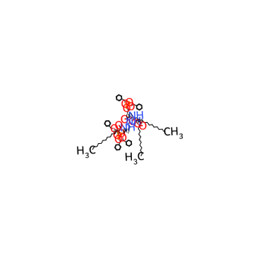 CCCCCCCCCCCC(=O)O[C@H](CCCCCCCCCCC)CC(=O)N[C@@H](CCOP(=O)(OCc1ccccc1)OCc1ccccc1)C(=O)NCCC[C@H](COP(=O)(OCc1ccccc1)OCc1ccccc1)NC(=O)C[C@@H](CCCCCCCCCCC)OCc1ccccc1